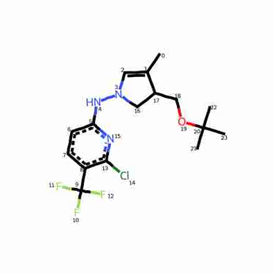 CC1=CN(Nc2ccc(C(F)(F)F)c(Cl)n2)CC1COC(C)(C)C